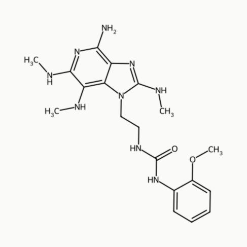 CNc1nc(N)c2nc(NC)n(CCNC(=O)Nc3ccccc3OC)c2c1NC